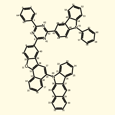 c1ccc(-c2nc(-c3ccc4oc5c6ccccc6c(-n6c7ccccc7c7cc8ccccc8cc76)cc5c4c3)nc(-c3ccc4c(c3)c3ccccc3n4-c3ccccc3)n2)cc1